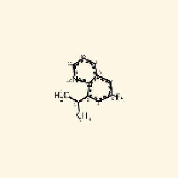 CC(C)c1cc(F)cc2cccnc12